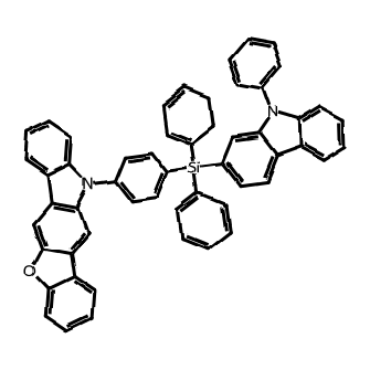 C1=CCCC([Si](c2ccccc2)(c2ccc(-n3c4ccccc4c4cc5oc6ccccc6c5cc43)cc2)c2ccc3c4ccccc4n(-c4ccccc4)c3c2)=C1